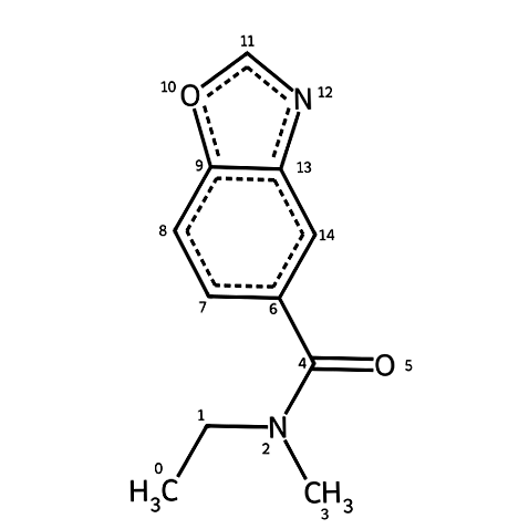 CCN(C)C(=O)c1ccc2ocnc2c1